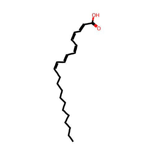 CCCCCCCCCCC\C=C/C=C/C=C\C=C/C=C/C(=O)O